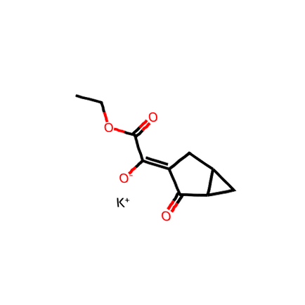 CCOC(=O)C([O-])=C1CC2CC2C1=O.[K+]